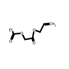 [CH2]CC(=O)OCC(=O)OCC=C